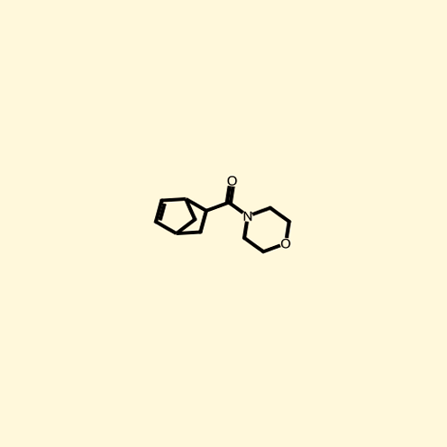 O=C(C1CC2C=CC1C2)N1CCOCC1